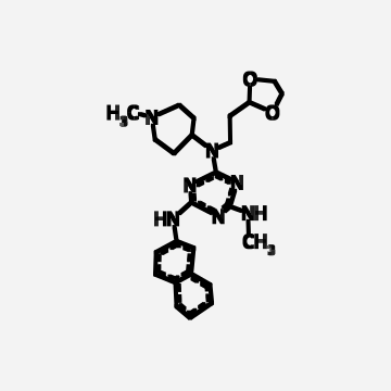 CNc1nc(Nc2ccc3ccccc3c2)nc(N(CCC2OCCO2)C2CCN(C)CC2)n1